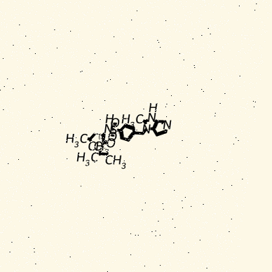 CCC(C)OC(=O)[C@H](CC(C)C)NS(=O)(=O)c1ccc(CN2c3ccncc3NC2C)cc1